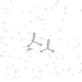 [O]=[Ti]([O-])[O-].[O]=[Ti]([O-])[O-].[Pt+4]